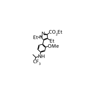 CCOC(=O)c1nn(CC)c(-c2ccc(NC(C)C(F)(F)F)cc2OC)c1CC